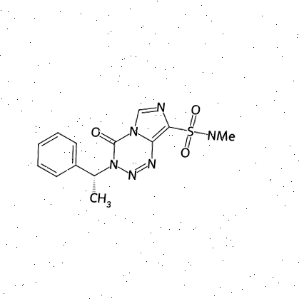 CNS(=O)(=O)c1ncn2c(=O)n([C@H](C)c3ccccc3)nnc12